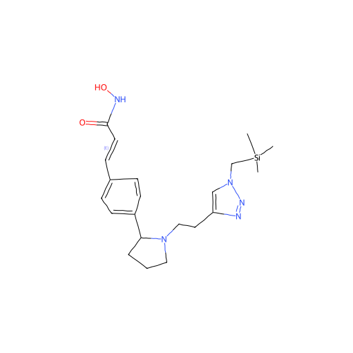 C[Si](C)(C)Cn1cc(CCN2CCCC2c2ccc(/C=C/C(=O)NO)cc2)nn1